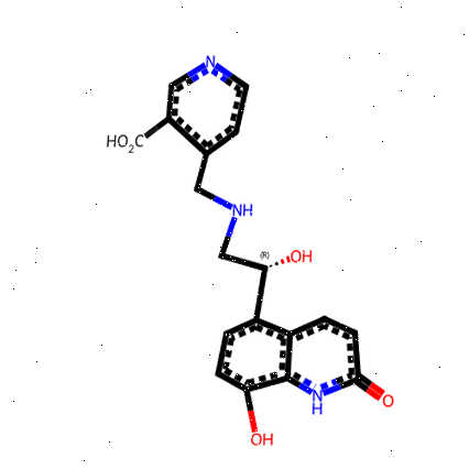 O=C(O)c1cnccc1CNC[C@H](O)c1ccc(O)c2[nH]c(=O)ccc12